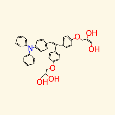 O/C=C(/O)COc1ccc(C(=Cc2ccc(N(c3ccccc3)c3ccccc3)cc2)c2ccc(OCC(O)CO)cc2)cc1